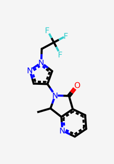 CC1c2ncccc2C(=O)N1c1cnn(CC(F)(F)F)c1